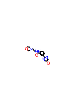 COc1cnc(-c2cccc(C(=O)NCCN3CCOCC3)c2)nc1